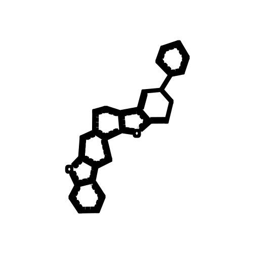 C1=c2oc3c(ccc4cc5oc6ccccc6c5cc43)c2=CC(c2ccccc2)C1